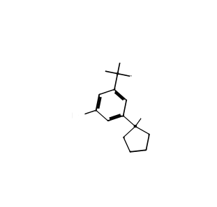 Cc1cc(C(F)(F)F)[c]c(C2(Cl)CCCC2)c1